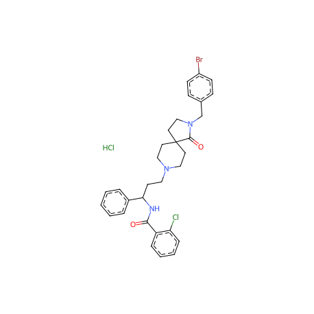 Cl.O=C(NC(CCN1CCC2(CC1)CCN(Cc1ccc(Br)cc1)C2=O)c1ccccc1)c1ccccc1Cl